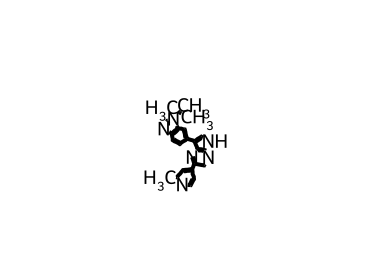 Cc1cc(-c2cnc3[nH]cc(-c4ccc5ncn(C(C)(C)C)c5c4)c3n2)ccn1